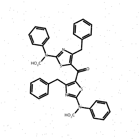 O=C(c1sc(N(C(=O)O)c2ccccc2)nc1Cc1ccccc1)c1sc(N(C(=O)O)c2ccccc2)nc1Cc1ccccc1